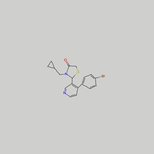 O=C1CSC(c2cnccc2-c2ccc(Br)cc2)N1CC1CC1